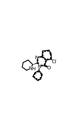 O=c1c2c(Cl)cccc2nc([C@@H]2CCCCN2)n1-c1ccccc1